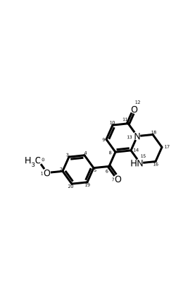 COc1ccc(C(=O)c2ccc(=O)n3c2NCCC3)cc1